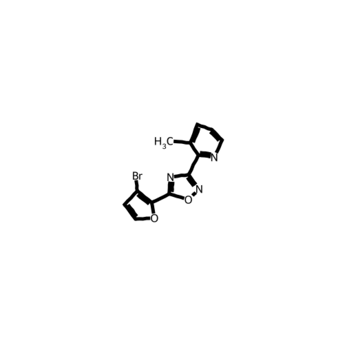 Cc1cccnc1-c1noc(-c2occc2Br)n1